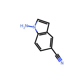 N#Cc1ccc2c(ccn2N)c1